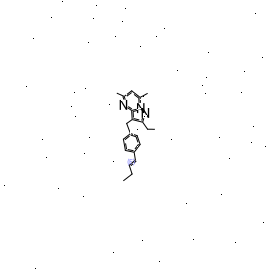 CC/C=C/c1ccc(Cc2c(CC)nn3c(C)cc(C)nc23)cc1